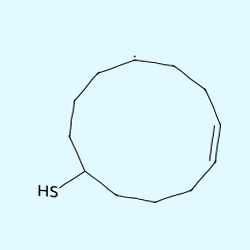 SC1CCC[CH]CC/C=C\CCC1